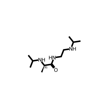 CC(C)NCCNC(=O)[C@@H](C)NC(C)C